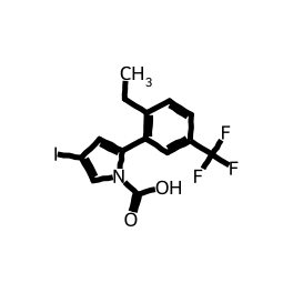 CCc1ccc(C(F)(F)F)cc1-c1cc(I)cn1C(=O)O